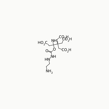 NCCNNC(=O)OC(N)(CC(=O)O)C(CC(=O)O)(CC(=O)O)CC(=O)O